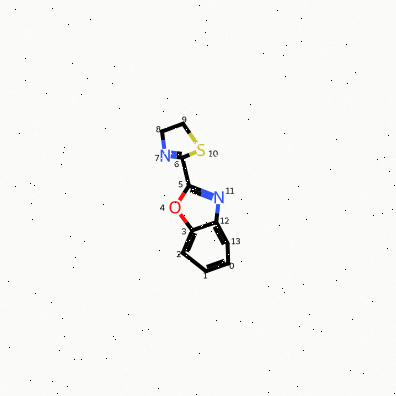 c1ccc2oc(C3=NCCS3)nc2c1